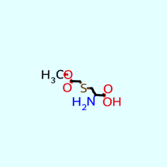 COC(=O)CSC[C@H](N)C(=O)O